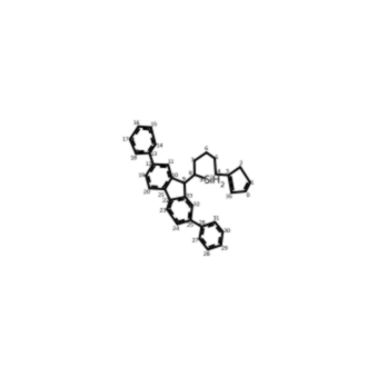 C1=CCC(C2CCCC(C3c4cc(-c5ccccc5)ccc4-c4ccc(-c5ccccc5)cc43)[SiH2]2)=C1